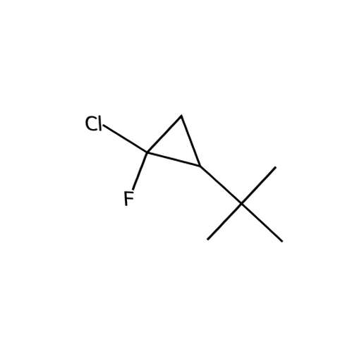 CC(C)(C)C1CC1(F)Cl